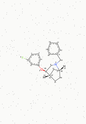 Fc1cccc(O[C@H]2CN(Cc3ccccc3)[C@@H]3CC[C@H]2C3)c1